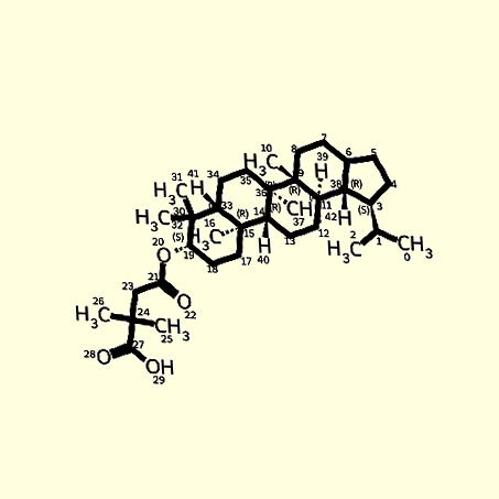 CC(C)[C@@H]1CCC2CC[C@]3(C)[C@H](CC[C@@H]4[C@@]5(C)CC[C@H](OC(=O)CC(C)(C)C(=O)O)C(C)(C)[C@@H]5CC[C@]43C)[C@H]21